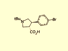 CC(C)(C)N1C[C@@H](C(=O)O)[C@H](c2ccc(Br)cc2)C1